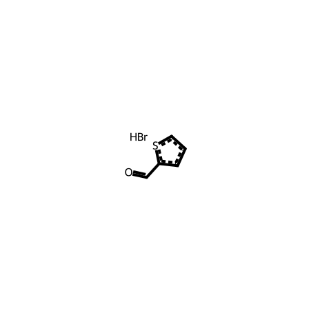 Br.O=Cc1cccs1